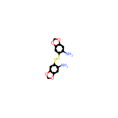 Nc1cc2c(cc1SSc1cc3c(cc1N)OCO3)OCO2